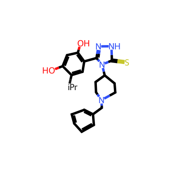 CC(C)c1cc(-c2n[nH]c(=S)n2C2CCN(Cc3ccccc3)CC2)c(O)cc1O